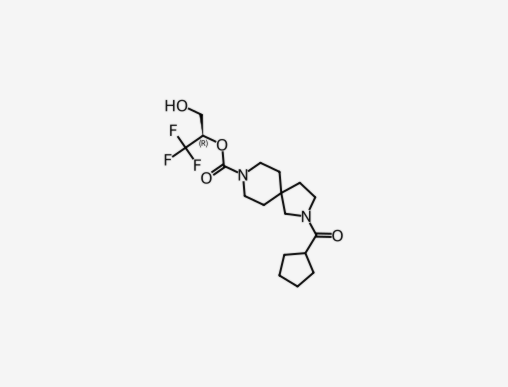 O=C(O[C@H](CO)C(F)(F)F)N1CCC2(CC1)CCN(C(=O)C1CCCC1)C2